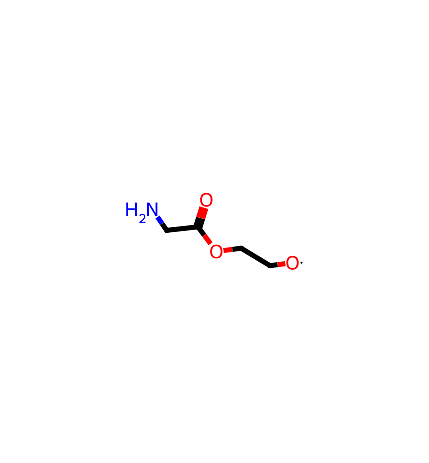 NCC(=O)OCC[O]